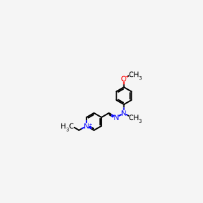 CC[n+]1ccc(C=NN(C)c2ccc(OC)cc2)cc1